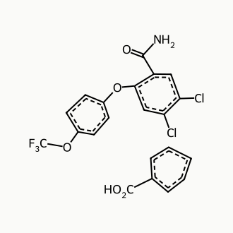 NC(=O)c1cc(Cl)c(Cl)cc1Oc1ccc(OC(F)(F)F)cc1.O=C(O)c1ccccc1